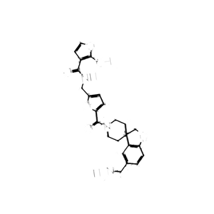 Cc1occc1C(=O)NCc1ccc(C(=O)N2CCC3(CC2)COc2ccc(CN)cc23)o1